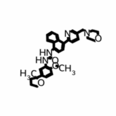 COc1ccc(C2(C)CCCO2)cc1NC(=O)Nc1ccc(-c2ccc(CN3CCOCC3)cn2)c2ccccc12